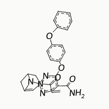 C=CC(=O)N1C=C2CC(C1)N2c1ncc(C(N)=O)c(Oc2ccc(Oc3ccccc3)cc2)n1